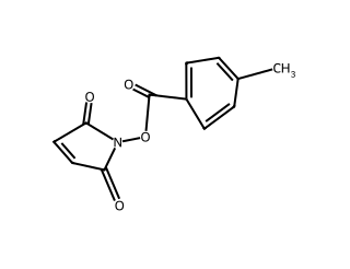 Cc1ccc(C(=O)ON2C(=O)C=CC2=O)cc1